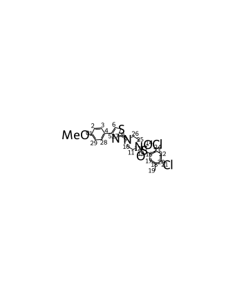 COc1ccc(-c2csc(N3CCN(S(=O)(=O)c4cc(C)c(Cl)cc4Cl)CC3)n2)cc1